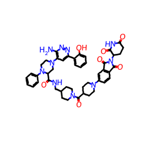 Nc1nnc(-c2ccccc2O)cc1N1CCN(c2ccccc2)C(C(=O)NCC2CCN(C(=O)C3CCN(c4ccc5c(c4)C(=O)N(C4CCC(=O)NC4=O)C5=O)CC3)CC2)C1